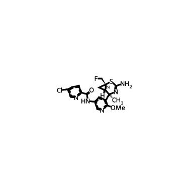 COc1ncc(NC(=O)c2ccc(Cl)cn2)cc1[C@]1(C)N=C(N)S[C@@]2(CF)C[C@H]21